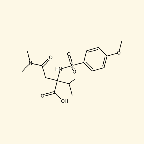 COc1ccc(S(=O)(=O)NC(CC(=O)N(C)C)(C(=O)O)C(C)C)cc1